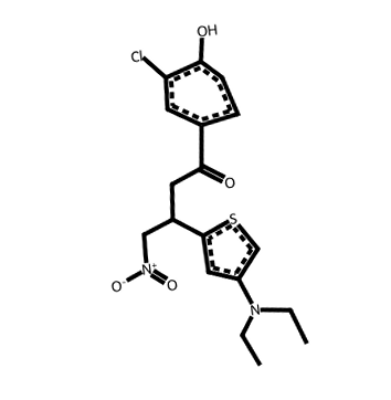 CCN(CC)c1csc(C(CC(=O)c2ccc(O)c(Cl)c2)C[N+](=O)[O-])c1